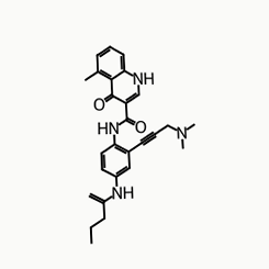 C=C(CCC)Nc1ccc(NC(=O)c2c[nH]c3cccc(C)c3c2=O)c(C#CCN(C)C)c1